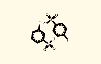 O=S(=O)(Cl)c1ccc(F)cc1.O=S(=O)(Cl)c1cccc(F)c1